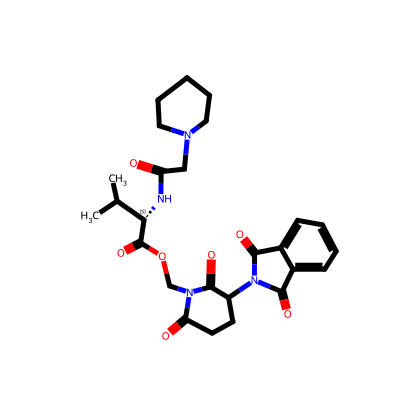 CC(C)[C@H](NC(=O)CN1CCCCC1)C(=O)OCN1C(=O)CCC(N2C(=O)c3ccccc3C2=O)C1=O